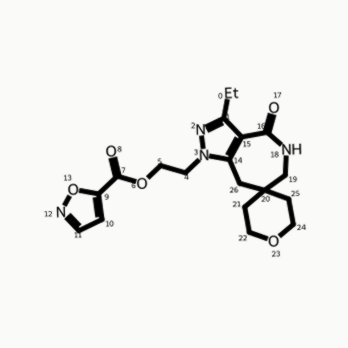 CCc1nn(CCOC(=O)c2ccno2)c2c1C(=O)NCC1(CCOCC1)C2